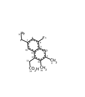 Cc1nc2c(F)cc(CC(C)C)cc2c(CC(=O)O)c1C